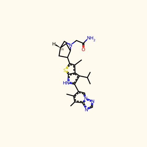 Cc1c(-c2[nH]c3sc(C4C[C@H]5CC4N(CC(N)=O)C5)c(C)c3c2C(C)C)cn2ncnc2c1C